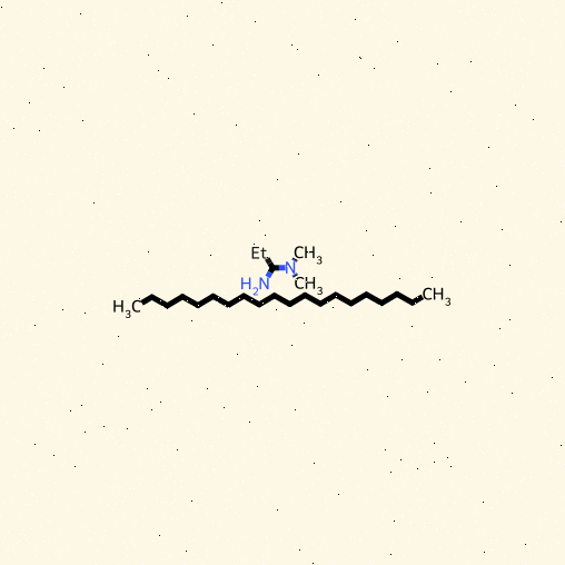 CCC(N)N(C)C.CCCCCCCCCCCCCCCCCCCC